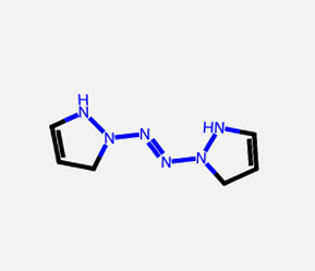 C1=CNN(N=NN2CC=CN2)C1